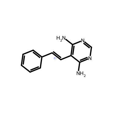 Nc1ncnc(N)c1/C=C/c1ccccc1